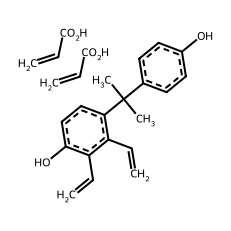 C=CC(=O)O.C=CC(=O)O.C=Cc1c(O)ccc(C(C)(C)c2ccc(O)cc2)c1C=C